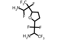 NC(C(F)(F)F)C(F)(F)C1CCC(C(F)(C(N)F)C(F)(F)F)O1